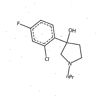 CCCN1CCC(O)(c2ccc(F)cc2Cl)C1